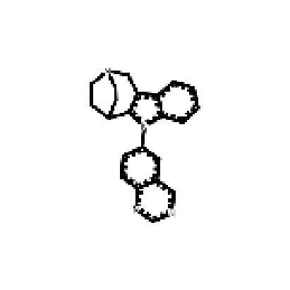 c1ccc2c(c1)c1c(n2-c2ccc3ncncc3c2)C2CCN(CC2)C1